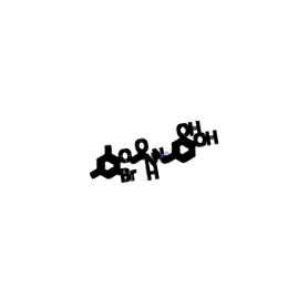 Cc1cc(C)c(OCC(=O)N/N=C/c2ccc(O)c(O)c2)c(Br)c1